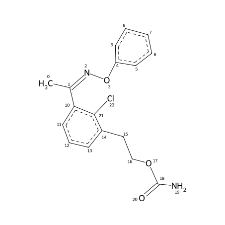 CC(=NOc1ccccc1)c1cccc(CCOC(N)=O)c1Cl